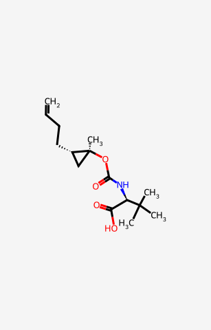 C=CCC[C@H]1C[C@]1(C)OC(=O)N[C@H](C(=O)O)C(C)(C)C